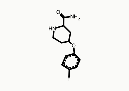 NC(=O)C1CC(Oc2ccc(F)cc2)CCN1